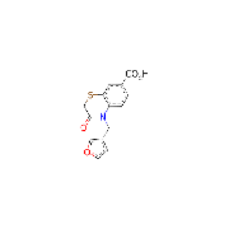 O=C(O)c1ccc2c(c1)SCC(=O)N2Cc1ccoc1